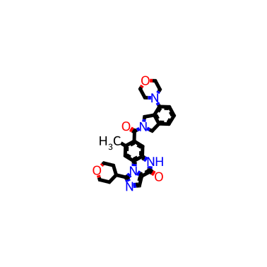 Cc1cc2c(cc1C(=O)N1Cc3cccc(N4CCOCC4)c3C1)[nH]c(=O)c1cnc(C3CCOCC3)n12